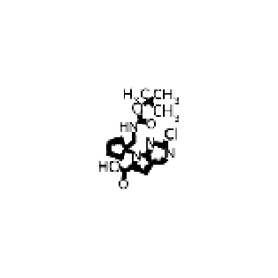 CC(C)(C)OC(=O)NCC1(n2c(C(=O)O)cc3cnc(Cl)nc32)C=CC=C1